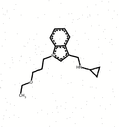 CCOCCCn1cc(CNC2CC2)c2ccccc21